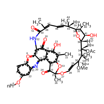 CCCOc1ccc2oc3c4c(=O)c5c(O)c(C)c6c(c5c-3nc2c1)C(=O)[C@@](C)(O/C=C/[C@H](OC)[C@@H](C)[C@@H](OC(C)=O)[C@@H]1O[C@H]([C@@H](C)[C@H]1O)[C@@H](C)/C=C/C=C(/C)C(=O)N4)O6